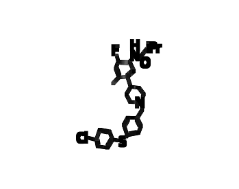 Cc1cc(F)c(NC(=O)C(C)C)cc1C1CCN(Cc2ccc(Sc3ccc(Cl)cc3)cc2)CC1